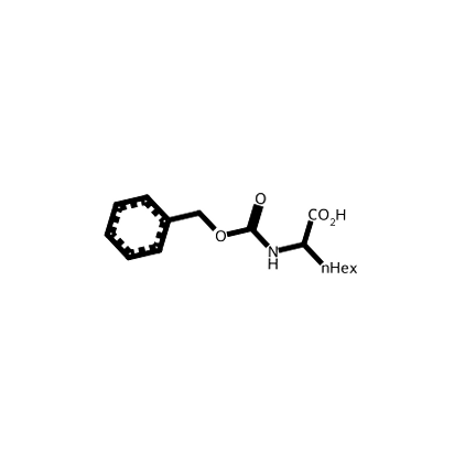 CCCCCCC(NC(=O)OCc1ccccc1)C(=O)O